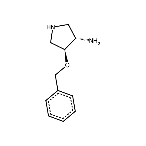 N[C@H]1CNC[C@@H]1OCc1ccccc1